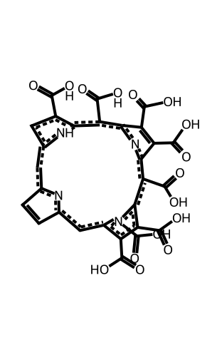 O=C(O)C1=C(C(=O)O)c2nc1c(C(=O)O)c1[nH]c(cc3nc(cc4c(C(=O)O)c(C(=O)O)c(c2C(=O)O)n4C(=O)O)C=C3)cc1C(=O)O